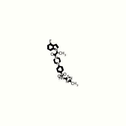 Cc1nsc(NS(=O)(=O)c2ccc(N3CCN(C(=O)[C@@H](C)n4ccc5c(F)cccc54)CC3)cc2)n1